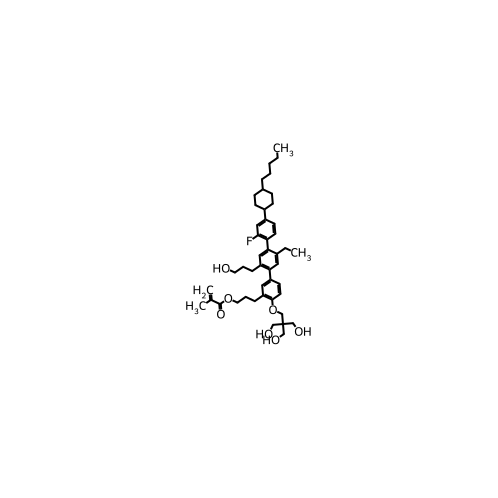 C=C(C)C(=O)OCCCc1cc(-c2cc(CC)c(-c3ccc(C4CCC(CCCCC)CC4)cc3F)cc2CCCO)ccc1OCC(CO)(CO)CO